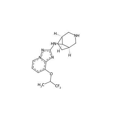 CC(Oc1cccn2nc(N[C@@H]3[C@@H]4CC[C@H]3CNC4)nc12)C(F)(F)F